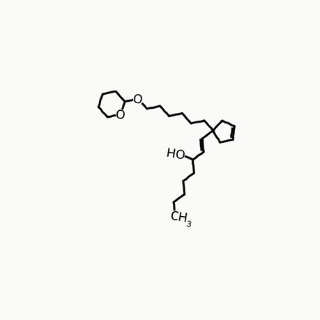 CCCCCC(O)C=CC1(CCCCCCOC2CCCCO2)CC=CC1